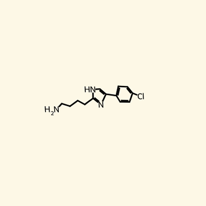 NCCCCc1nc(-c2ccc(Cl)cc2)c[nH]1